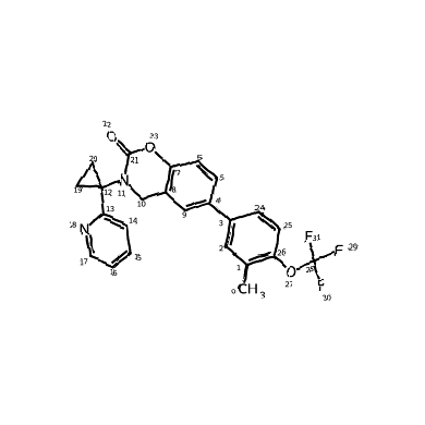 Cc1cc(-c2ccc3c(c2)CN(C2(c4ccccn4)CC2)C(=O)O3)ccc1OC(F)(F)F